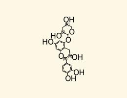 Oc1cc(OC2OC[C@H](O)C[C@@H]2O)c2c(c1)O[C@H](c1ccc(O)c(O)c1)[C@H](O)C2